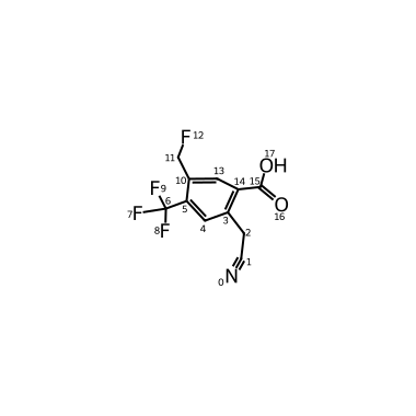 N#CCc1cc(C(F)(F)F)c(CF)cc1C(=O)O